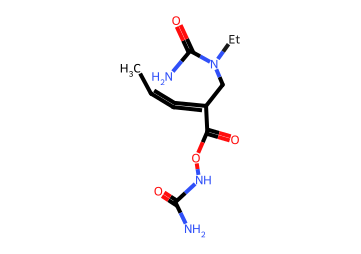 CC=C=C(CN(CC)C(N)=O)C(=O)ONC(N)=O